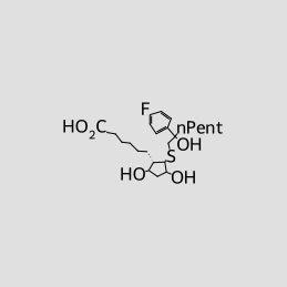 CCCCCC(O)(CS[C@H]1C(O)CC(O)[C@@H]1CCCCCCC(=O)O)c1ccc(F)cc1